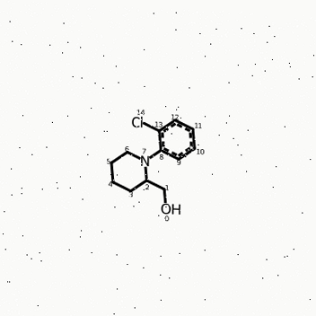 OCC1CCCCN1c1ccccc1Cl